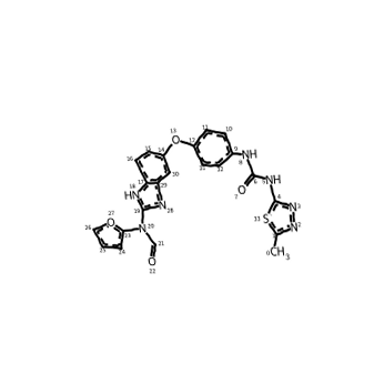 Cc1nnc(NC(=O)Nc2ccc(Oc3ccc4[nH]c(N(C=O)c5ccco5)nc4c3)cc2)s1